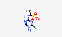 CC(NC1=N[C](Cl)NC=N1)S(=O)(=O)O